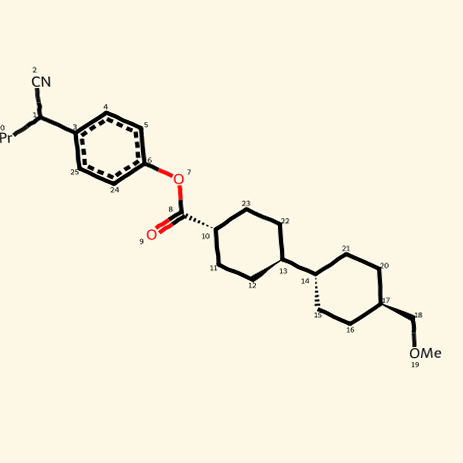 CCCC(C#N)c1ccc(OC(=O)[C@H]2CC[C@H]([C@H]3CC[C@H](COC)CC3)CC2)cc1